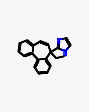 CCC1(c2ncc[nH]2)C=Cc2ccccc2-c2ccccc21